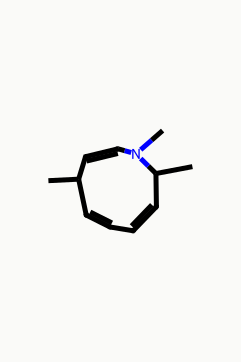 CC1/C=C\C=C/C(C)N(C)/C=C\1